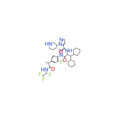 CC(C(=O)NC(F)C(F)F)c1ccc(NC(=O)C(NC(=O)c2ccnn2C2CCCNC2)C(C2CCCCC2)C2CCCCC2)c(F)c1